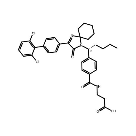 CCCC[C@H](c1ccc(C(=O)NCCC(=O)O)cc1)N1C(=O)C(c2ccc(-c3c(Cl)cccc3Cl)cc2)=NC12CCCCC2